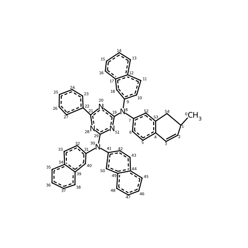 CC1C=Cc2ccc(N(c3ccc4ccccc4c3)c3nc(-c4ccccc4)nc(N(c4ccc5ccccc5c4)c4ccc5ccccc5c4)n3)cc2C1